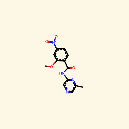 COc1cc([N+](=O)[O-])ccc1C(=O)Nc1cncc(C)n1